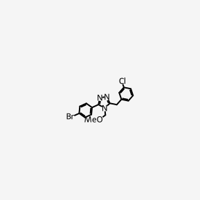 COCn1c(Cc2cccc(Cl)c2)nnc1-c1ccc(Br)cc1